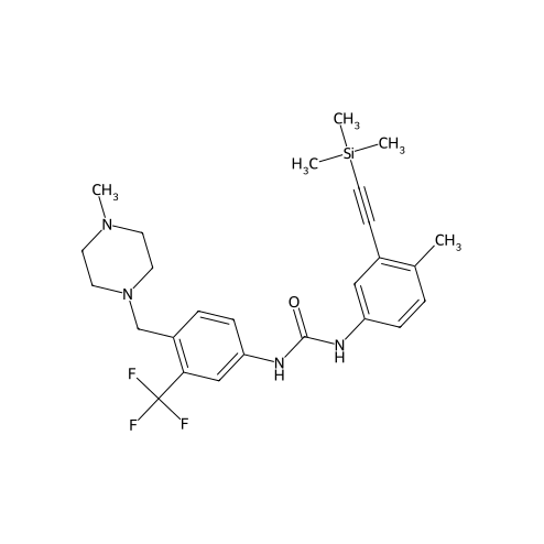 Cc1ccc(NC(=O)Nc2ccc(CN3CCN(C)CC3)c(C(F)(F)F)c2)cc1C#C[Si](C)(C)C